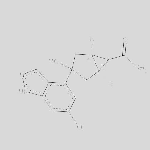 NC(=O)C1[C@H]2CC(O)(c3cc(Cl)cc4[nH]ncc34)C[C@@H]12